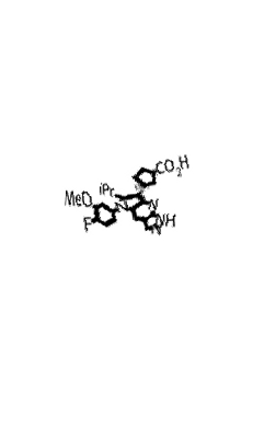 COc1cc(-n2c(C(C)C)c([C@@H]3CC[C@@H](C(=O)O)C3)c3nc4[nH]ncc4cc32)ccc1F